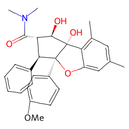 COc1ccc([C@@]23Oc4cc(C)cc(C)c4[C@]2(O)[C@H](O)[C@@H](C(=O)N(C)C)[C@@H]3c2ccccc2)cc1